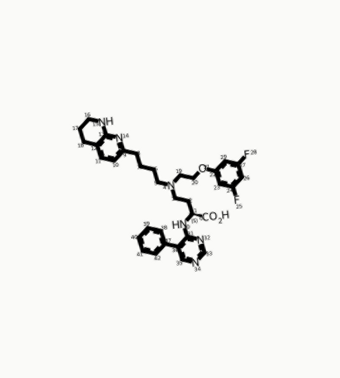 O=C(O)[C@H](CCN(CCCCc1ccc2c(n1)NCCC2)CCOc1cc(F)cc(F)c1)Nc1ncncc1-c1ccccc1